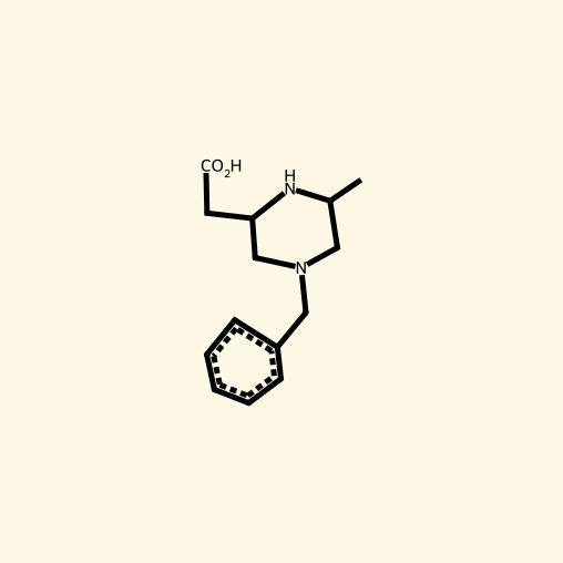 CC1CN(Cc2ccccc2)CC(CC(=O)O)N1